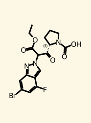 CCOC(=O)C(C(=O)[C@@H]1CCCN1C(=O)O)n1cc2c(F)cc(Br)cc2n1